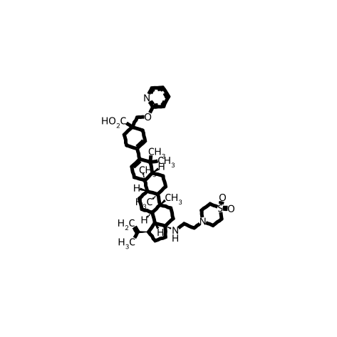 C=C(C)[C@@H]1CC[C@]2(NCCN3CCS(=O)(=O)CC3)CC[C@]3(C)[C@H](CC[C@@H]4[C@@]5(C)CC=C(C6=CCC(COc7ccccn7)(C(=O)O)CC6)C(C)(C)[C@@H]5CC[C@]43C)[C@@H]12